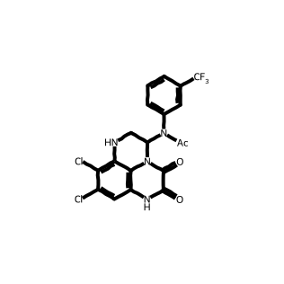 CC(=O)N(c1cccc(C(F)(F)F)c1)C1CNc2c(Cl)c(Cl)cc3[nH]c(=O)c(=O)n1c23